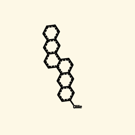 COc1ccc2cc3c(ccc4c5cc6ccccc6cc5ccc34)cc2c1